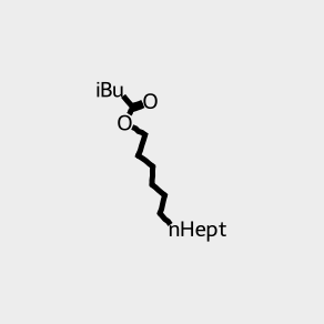 CCCCCCCCCCCCCOC(=O)C(C)CC